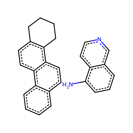 Nc1cccc2cnccc12.c1ccc2c(c1)ccc1c3c(ccc12)CCCC3